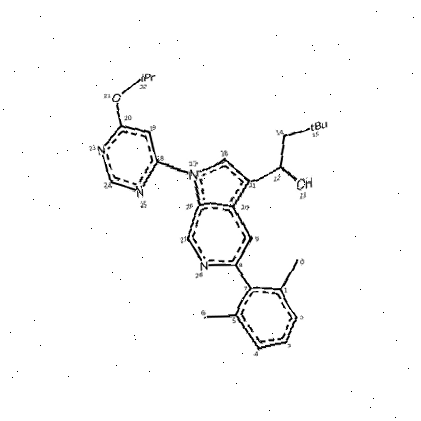 Cc1cccc(C)c1-c1cc2c(C(O)CC(C)(C)C)cn(-c3cc(OC(C)C)ncn3)c2cn1